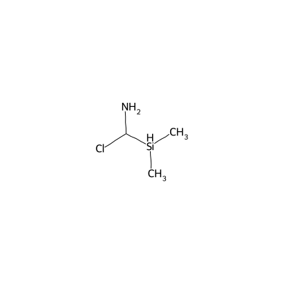 C[SiH](C)C(N)Cl